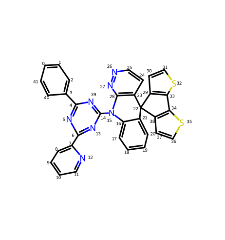 c1ccc(-c2nc(-c3ccccn3)nc(N3c4ccccc4C4(c5ccnnc53)c3ccsc3-c3sccc34)n2)cc1